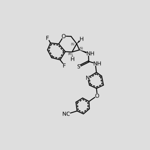 N#Cc1ccc(Oc2ccc(NC(=S)N[C@@H]3[C@H]4COc5c(F)ccc(F)c5[C@@H]43)nc2)cc1